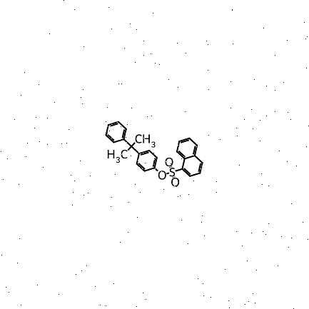 CC(C)(c1ccccc1)c1ccc(OS(=O)(=O)c2cccc3ccccc23)cc1